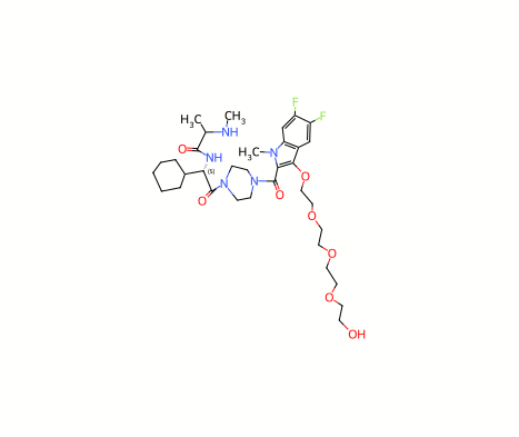 CNC(C)C(=O)N[C@H](C(=O)N1CCN(C(=O)c2c(OCCOCCOCCOCCO)c3cc(F)c(F)cc3n2C)CC1)C1CCCCC1